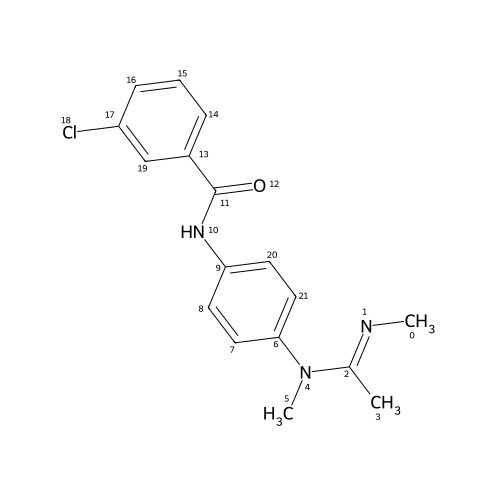 CN=C(C)N(C)c1ccc(NC(=O)c2cccc(Cl)c2)cc1